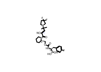 CC(C)(/C=C(\C#N)C(=O)N1CCCC[C@@H]1COC(=O)N[C@@H](Cc1ccc(F)cc1)B(O)O)N1CCC(F)(F)C1